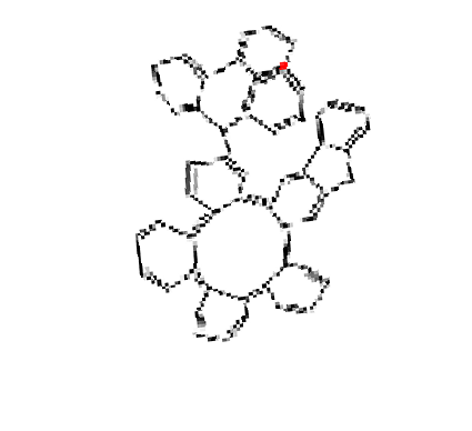 c1ccc(-c2ccccc2N(c2ccccc2)c2ccc3c4ccccc4c4ccccc4c4ccccc4c4cc5sc6ccccc6c5cc4c3c2)cc1